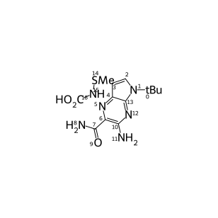 CC(C)(C)n1ccc2nc(C(N)=O)c(N)nc21.CSNC(=O)O